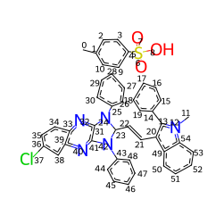 Cc1ccc(S(=O)(=O)O)cc1.Cn1c(-c2ccccc2)c(C=CC2N(c3ccccc3)c3nc4ccc(Cl)cc4nc3N2c2ccccc2)c2ccccc21